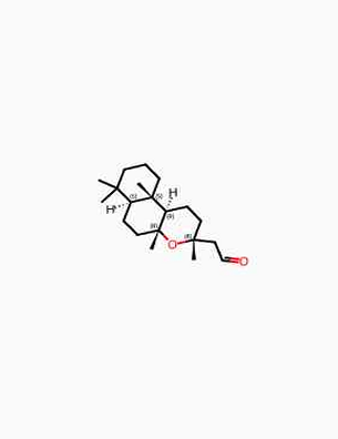 CC1(C)CCC[C@]2(C)[C@H]3CC[C@](C)(CC=O)O[C@]3(C)CC[C@@H]12